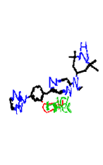 CN(c1cnc(-c2ccc(-n3nccn3)cc2O)cn1)C1CC(C)(C)NC(C)(C)C1.Cl.Cl